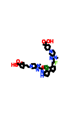 Cn1c(C(=O)Nc2cccc(-c3cccc(/C=C(\F)c4nc5c(n4C)CCN(C4CCC(C)(C(=O)O)CC4)C5)c3Cl)c2Cl)nc2c1CCN(CCC13CCC(C(=O)O)(CC1)C3)C2